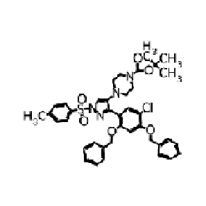 Cc1ccc(S(=O)(=O)n2cc(N3CCN(C(=O)OC(C)(C)C)CC3)c(-c3cc(Cl)c(OCc4ccccc4)cc3OCc3ccccc3)n2)cc1